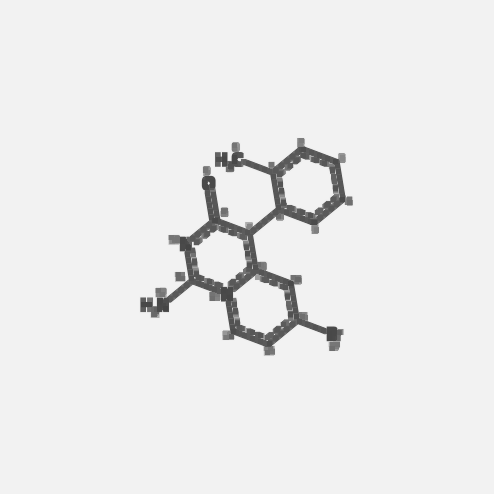 Cc1ccccc1-c1c(=O)nc(N)n2ccc(Br)cc12